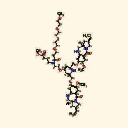 C/C=C1\C[C@H]2CNc3cc(OCC4C=C(OCCN(CCCC(=O)OC)C(=O)CCOCCOCCOCCOC)C=C(COc5cc6c(cc5OC)C(=O)N5C/C(=C/C)C[C@H]5C=N6)N4)c(OC)cc3C(=O)N2C1